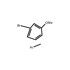 CC(C)=O.COc1cccc(Br)c1